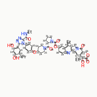 CCNC(=O)c1nnc(-c2cc(C(C)C)c(O)cc2O)n1-c1ccc(OC2CCN(C(=O)[C@@H]3CCCN3C(=O)Oc3ccc4nc5c(c(CC)c4c3)Cn3c-5cc4c(c3=O)COC(=O)[C@]4(O)CC)CC2)cc1